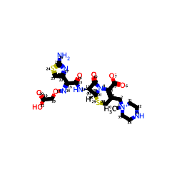 C[N+]1(CC2=C(C(=O)[O-])N3C(=O)[C@@H](NC(=O)C(=NOCC(=O)O)c4csc(N)n4)[C@@H]3SC2)CCNCC1